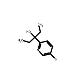 CCC(O)(CC)c1ccc(Br)cn1